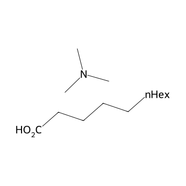 CCCCCCCCCCC(=O)O.CN(C)C